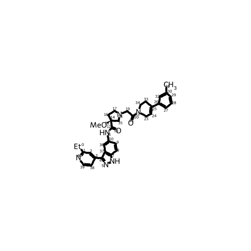 CCc1cc(-c2n[nH]c3ccc(NC(=O)[C@]4(OC)CCN(CC(=O)N5CC=C(c6cccc(C)c6)CC5)C4)cc23)ccn1